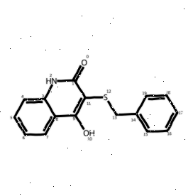 O=c1[nH]c2ccccc2c(O)c1SCc1ccccc1